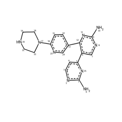 Nc1nccc(-c2cnc(N)nc2-c2ccc(N3CCNCC3)nc2)n1